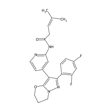 CC(C)=CCC(=O)Nc1cc(-c2c(-c3ccc(F)cc3F)nn3c2OCCC3)ccn1